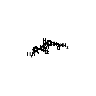 CCn1cc(-c2cccc(N)c2C)nc(Nc2ccc(CNCC(N)=O)cc2)c1=O